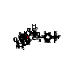 C[C@@H]1C2CC3C[C@]1(C(N)=O)CC(C2)[C@H]3NC(=O)C(C)(C)OCc1ccc(C(F)(F)F)cc1